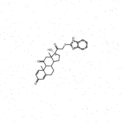 CC12C=CC(=O)C=C1CCC1C2C(=O)CC2(C)C1CC[C@]2(O)C(=O)CSc1nc2ccccc2[nH]1